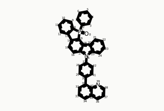 O=P1(c2ccccc2)c2ccccc2-c2ccc3c(c21)c1ccccc1n3-c1ccc(-c2cccc3cccnc23)cc1